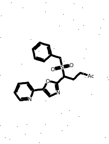 CC(=O)CCC(c1ncc(-c2ccccn2)o1)S(=O)(=O)Cc1ccccc1